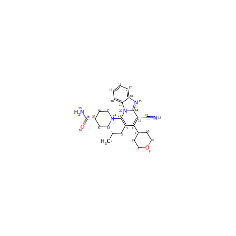 CCCc1c(C2CCOCC2)c(C#N)c2nc3ccccc3n2c1N1CCC(C(N)=O)CC1